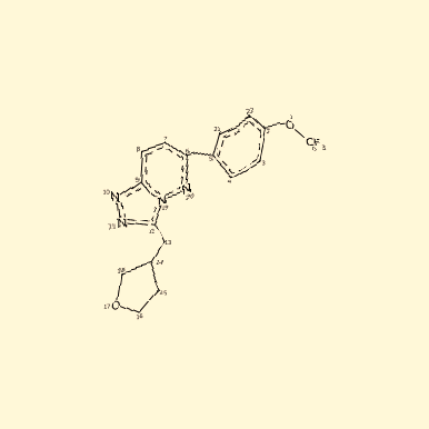 FC(F)(F)Oc1ccc(-c2ccc3nnc(CC4CCOC4)n3n2)cc1